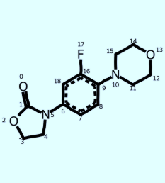 O=C1O[CH]CN1c1ccc(N2CCOCC2)c(F)c1